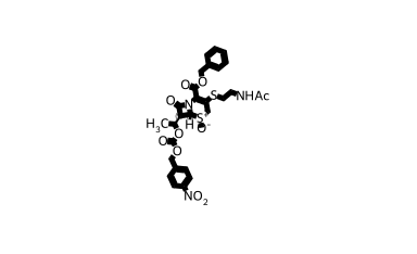 CC(=O)NCCSC1=C(C(=O)OCc2ccccc2)N2C(=O)[C@H](C(C)OC(=O)OCc3ccc([N+](=O)[O-])cc3)[C@H]2[S+]([O-])C1